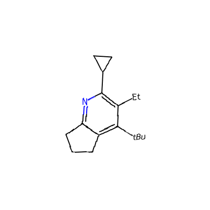 CCc1c(C2CC2)nc2c(c1C(C)(C)C)CCC2